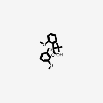 COc1cccc(C[C@](C(=O)O)(c2ccccc2OC)C(C)(C)C)c1